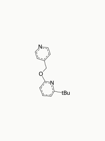 CC(C)(C)c1cccc(OCc2ccncc2)n1